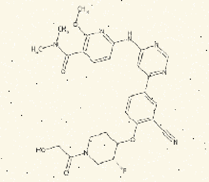 COc1nc(Nc2cc(-c3ccc(OC4CCN(C(=O)CO)C[C@H]4F)c(C#N)c3)ncn2)ccc1C(=O)N(C)C